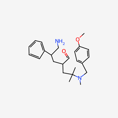 COc1ccc(CN(C)C(C)(C)CC(C=O)CC(CN)c2ccccc2)cc1